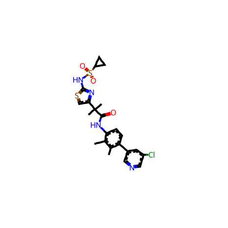 Cc1c(NC(=O)C(C)(C)c2csc(NS(=O)(=O)C3CC3)n2)ccc(-c2cncc(Cl)c2)c1C